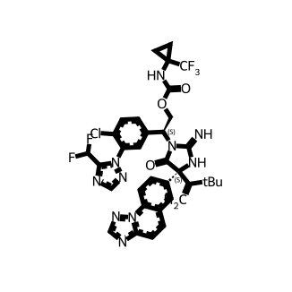 C=C(C(C)(C)C)[C@]1(c2ccc3c(ccc4ncnn43)c2)NC(=N)N([C@H](COC(=O)NC2(C(F)(F)F)CC2)c2ccc(Cl)c(-n3ncnc3C(F)F)c2)C1=O